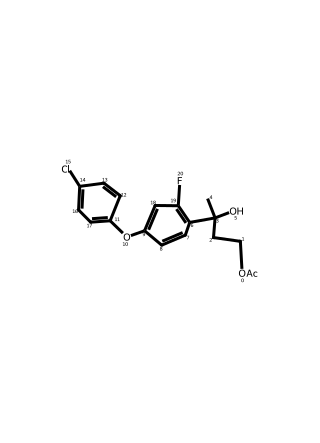 CC(=O)OCCC(C)(O)c1ccc(Oc2ccc(Cl)cc2)cc1F